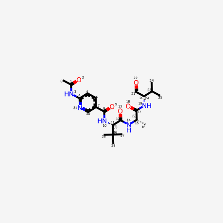 CC(=O)Nc1ccc(C(=O)N[C@H](C(=O)N[C@@H](C)C(=O)N[C@H](C=O)C(C)C)C(C)(C)C)cn1